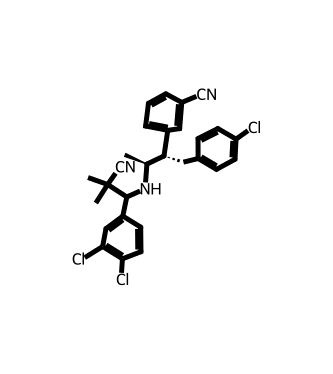 C[C@H](NC(c1ccc(Cl)c(Cl)c1)C(C)(C)C#N)[C@@H](Cc1ccc(Cl)cc1)c1cccc(C#N)c1